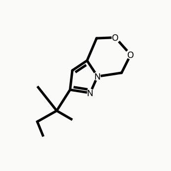 CCC(C)(C)c1cc2n(n1)COOC2